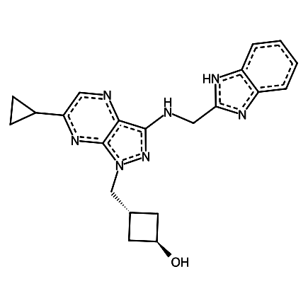 O[C@H]1C[C@H](Cn2nc(NCc3nc4ccccc4[nH]3)c3ncc(C4CC4)nc32)C1